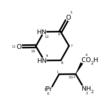 CC(C)C[C@H](N)C(=O)O.O=C1CCNC(=O)N1